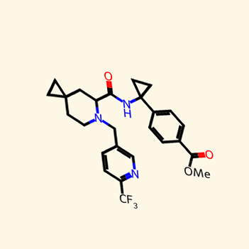 COC(=O)c1ccc(C2(NC(=O)C3CC4(CCN3Cc3ccc(C(F)(F)F)nc3)CC4)CC2)cc1